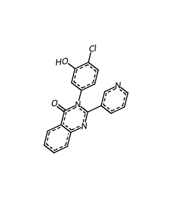 O=c1c2ccccc2nc(-c2cccnc2)n1-c1ccc(Cl)c(O)c1